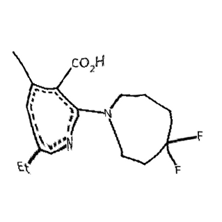 CCc1cc(C)c(C(=O)O)c(N2CCCC(F)(F)CC2)n1